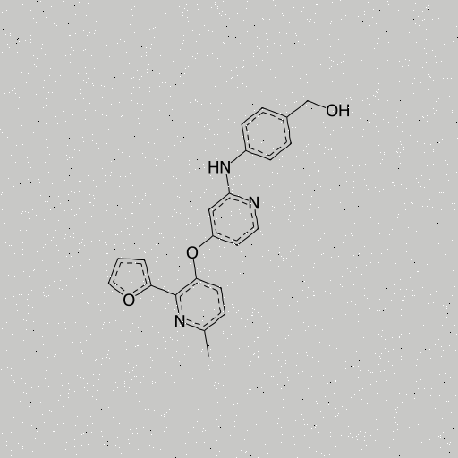 Cc1ccc(Oc2ccnc(Nc3ccc(CO)cc3)c2)c(-c2ccco2)n1